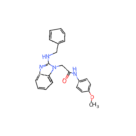 COc1ccc(NC(=O)Cn2c(NCc3ccccc3)nc3ccccc32)cc1